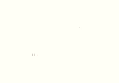 CC1C=CC(CN)CC1